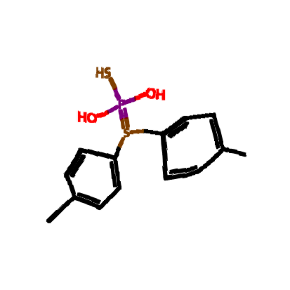 Cc1ccc(S(c2ccc(C)cc2)=P(O)(O)S)cc1